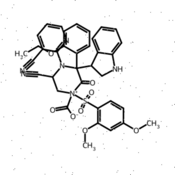 CCOc1ccccc1C1(C2CNc3ccccc32)C(=O)[N+](C(=O)[O-])(S(=O)(=O)c2ccc(OC)cc2OC)CC(C#N)N1c1ncccc1C#N